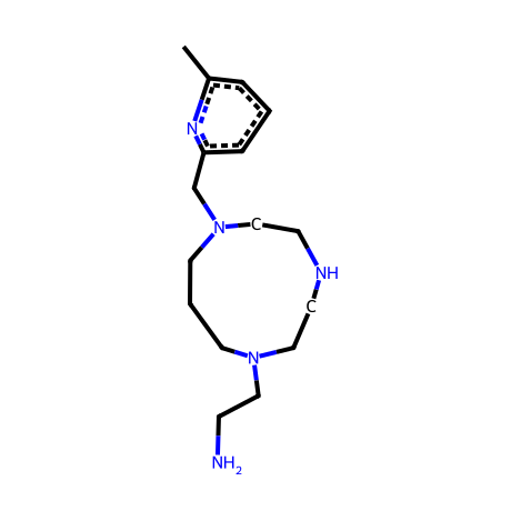 Cc1cccc(CN2CCCN(CCN)CCNCC2)n1